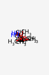 C=C(/C=C\C)C(=C)/C=C\C(CO)c1ccc2c(c1)C(CCCCc1ccc(NC)c(NC)c1)(c1cccc(CCCCCC)c1)c1cc(C(C)(C)CC)ccc1-2